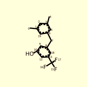 Cc1cc(C)cc(Cc2cc(O)cc(C(F)(F)F)c2)c1